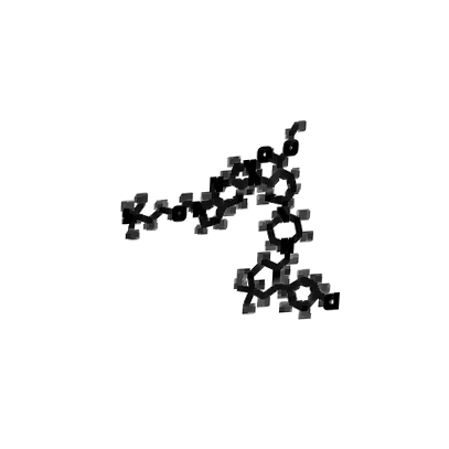 CCOC(=O)c1ccc(N2CCN(CC3=C(c4ccc(Cl)cc4)CC(C)(C)CC3)CC2)cc1-n1ncc2nc3c(ccn3COCC[Si](C)(C)C)cc21